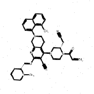 C=CC(=O)N1CCN(c2c(C#N)c(OC[C@H]3CCCCN3C)nc3c2CCN(c2cccc4cccc(C)c24)C3)C[C@@H]1CC#N